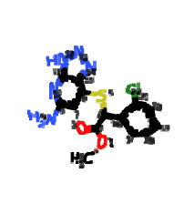 COC(=O)C(Sc1cc(N)nc2[nH]nnc12)c1ccccc1Cl